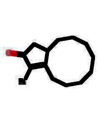 CCC1=C2CCCCCCCCC2CC1=O